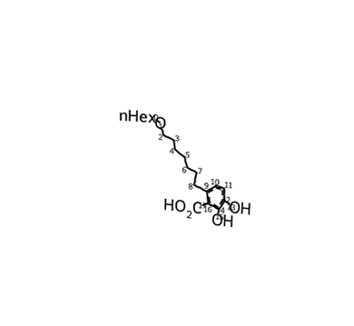 CCCCCCOCCCCCCCc1ccc(O)c(O)c1C(=O)O